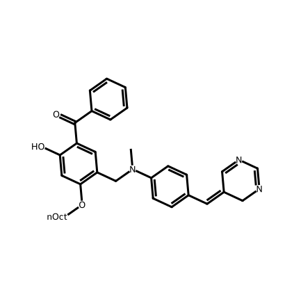 CCCCCCCCOc1cc(O)c(C(=O)c2ccccc2)cc1CN(C)c1ccc(C=C2C=NC=NC2)cc1